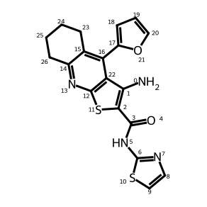 Nc1c(C(=O)Nc2nccs2)sc2nc3c(c(-c4ccco4)c12)CCCC3